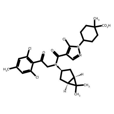 Cc1cc(Cl)c(C(=O)CN(C(=O)c2cnn(C3CCC(C)(C(=O)O)CC3)c2Cl)[C@H]2C[C@@H]3[C@H](C2)C3(C)C)c(Cl)c1